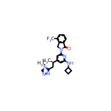 C[C@H](Cc1nncn1C)c1cc(NC2CCC2)nc(N2Cc3c(cccc3C(F)(F)F)C2=O)c1